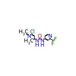 C=C(/C=C(Cl)\N=C/C)NC(=O)Nc1ccnc(C(F)F)c1